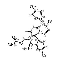 Cc1cc2c(ccc(=O)n2-c2ccc(Cl)cc2)c(-c2ccc(Cl)cc2)c1[C@H](COC(=O)C(C)(C)C)OC(C)(C)C